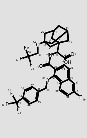 O=C(NC(C(=O)O)C12CC3CC(CC(OCC(F)(F)F)(C3)C1)C2)c1ccc2cc(F)ccc2c1OCc1ccc(C(F)(F)F)cc1